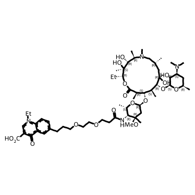 CC[C@H]1OC(=O)[C@H](C)[C@@H](O[C@H]2C[C@@](C)(OC)[C@H](NC(=O)CCOCCOCCCc3ccc4c(c3)c(=O)c(C(=O)O)cn4CC)[C@H](C)O2)[C@H](C)[C@@H](O[C@@H]2O[C@H](C)C[C@H](N(C)C)[C@H]2O)[C@](C)(O)C[C@@H](C)CN(C)[C@H](C)[C@@H](O)[C@]1(C)O